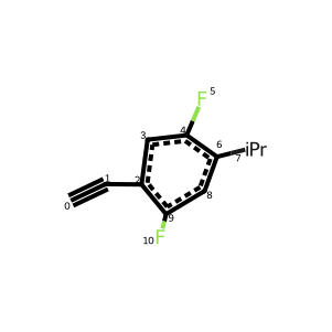 C#Cc1cc(F)c(C(C)C)cc1F